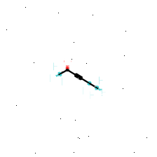 O=C(C#CC(F)(F)C(F)(F)F)C(F)(F)F